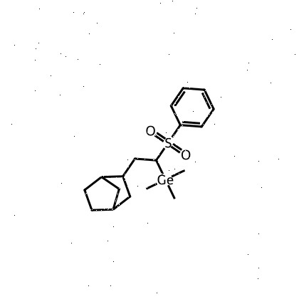 [CH3][Ge]([CH3])([CH3])[CH](CC1CC2CCC1C2)S(=O)(=O)c1ccccc1